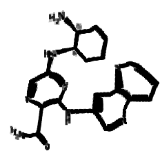 NC(=O)c1ncc(N[C@@H]2CCCC[C@@H]2N)nc1Nc1cnc2cccnc2c1